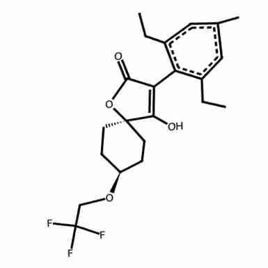 CCc1cc(C)cc(CC)c1C1=C(O)[C@]2(CC[C@H](OCC(F)(F)F)CC2)OC1=O